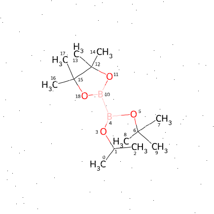 CC(C)OB(OC(C)(C)C)B1OC(C)(C)C(C)(C)O1